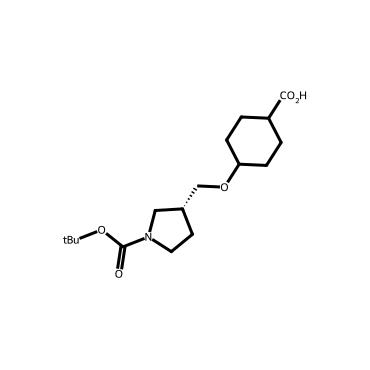 CC(C)(C)OC(=O)N1CC[C@@H](COC2CCC(C(=O)O)CC2)C1